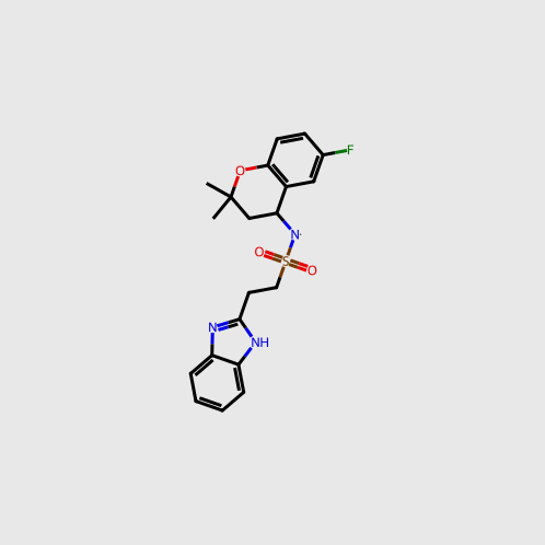 CC1(C)CC([N]S(=O)(=O)CCc2nc3ccccc3[nH]2)c2cc(F)ccc2O1